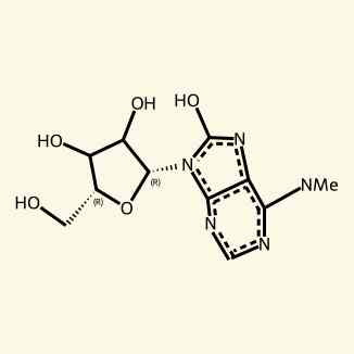 CNc1ncnc2c1nc(O)n2[C@@H]1O[C@H](CO)C(O)C1O